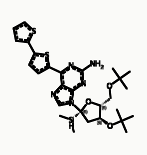 C[SiH](C)[C@@]1(n2cnc3c(-c4ccc(-c5cccs5)s4)nc(N)nc32)C[C@H](OC(C)(C)C)[C@@H](COC(C)(C)C)O1